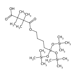 CC(C)(C(=O)O)C(C)(C)C(=O)OCCCC[Si](O[Si](C)(C)C)(O[Si](C)(C)C)O[Si](C)(C)C